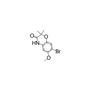 COc1cc2c(cc1Br)OC(C)(C)C(=O)N2